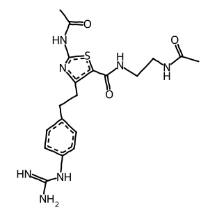 CC(=O)NCCNC(=O)c1sc(NC(C)=O)nc1CCc1ccc(NC(=N)N)cc1